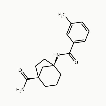 NC(=O)[C@@]12CCC[C@@](NC(=O)c3cccc(C(F)(F)F)c3)(CC1)C2